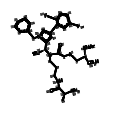 CC(=O)N[C@@H](CSCC(=O)N(CCCNC(=O)[C@H](C)N)[C@@H](c1cc(-c2cc(F)ccc2F)cn1Cc1ccccc1)C(C)(C)C)C(=O)O